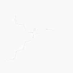 C=CCOP(=O)(OCC=C)OCCCCCl